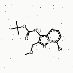 COCc1nn2c(Br)cccc2c1NC(=O)OC(C)(C)C